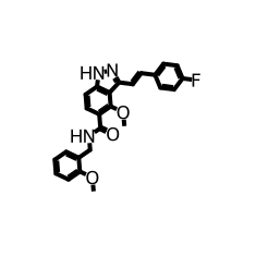 COc1ccccc1CNC(=O)c1ccc2[nH]nc(/C=C/c3ccc(F)cc3)c2c1OC